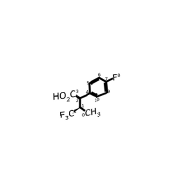 C[C@H](C(C(=O)O)c1ccc(F)cc1)C(F)(F)F